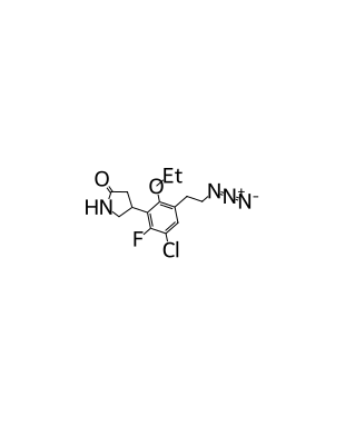 CCOc1c(CCN=[N+]=[N-])cc(Cl)c(F)c1C1CNC(=O)C1